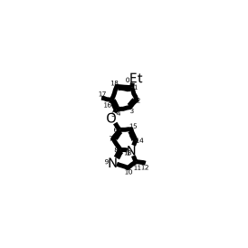 CCc1ccc(OC2=CC3=NCC(C)N3C=C2)c(C)c1